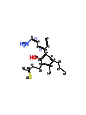 C=C/C(=C\C=C/N)c1cc(CCC)c(C)c(CCC(C)=S)c1O